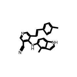 Cc1ccc(/C=C/c2cncc(C#N)c2Nc2ccc3[nH]ccc3c2C)cc1